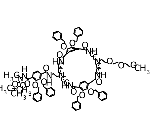 COCCOCCOCCN1CCNC(=O)c2ccc(c(OCc3ccccc3)c2OCc2ccccc2)C(=O)NCCN(CCNC(=O)c2ccc(C(=O)NN(C)C(=O)OC(C)(C)C)c(OCc3ccccc3)c2OCc2ccccc2)CCNC(=O)c2ccc(c(OCc3ccccc3)c2OCc2ccccc2)C(=O)NCC1